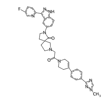 Cn1cnc(-c2ccc(C3=CCN(C(=O)CN4CCC5(CCN(c6ccc7[nH]nc(-c8ccc(F)cn8)c7c6)C5=O)C4)CC3)cc2)n1